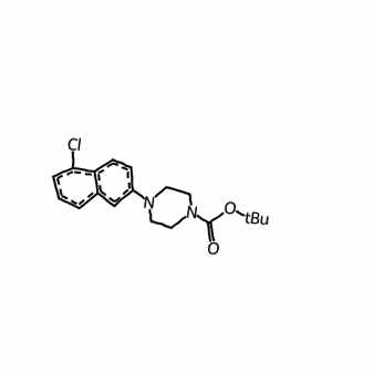 CC(C)(C)OC(=O)N1CCN(c2ccc3c(Cl)cccc3c2)CC1